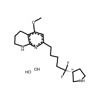 COc1cc(CCCCC(F)(F)[C@@H]2CCNC2)nc2c1CCCN2.Cl.Cl